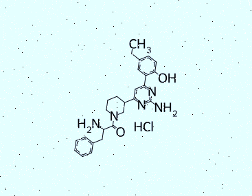 CCc1ccc(O)c(-c2cc(C3CCCN(C(=O)[C@H](N)Cc4ccccc4)C3)nc(N)n2)c1.Cl